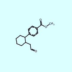 COC(=O)c1ccc(C2CCCCC2CC=O)cc1